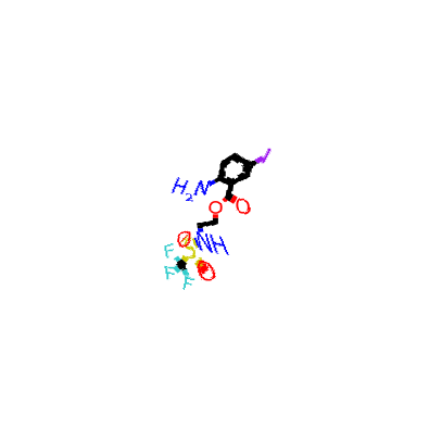 Nc1ccc(I)cc1C(=O)OCCNS(=O)(=O)C(F)(F)F